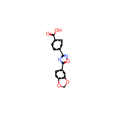 O=C(O)c1ccc(-c2noc(-c3ccc4c(c3)OCO4)n2)cc1